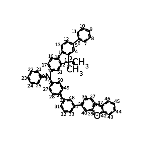 CC1(C)c2cc(-c3ccccc3)ccc2-c2ccc(N(c3ccccc3)c3ccc(-c4cccc(-c5ccc6c(c5)oc5ccccc56)c4)cc3)cc21